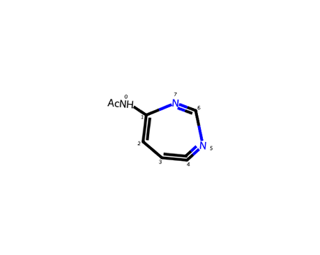 CC(=O)NC1=CC=C=NC=N1